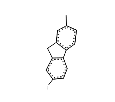 CC(C)c1ccc2c(c1)Cc1cc(N)ccc1-2